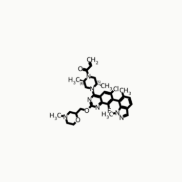 C=CC(=O)N1C[C@H](C)N(c2nc(OCC3CN(C)CCO3)nc3c(F)c(-c4c(C)ccc5cnn(C)c45)c(Cl)cc23)C[C@H]1C